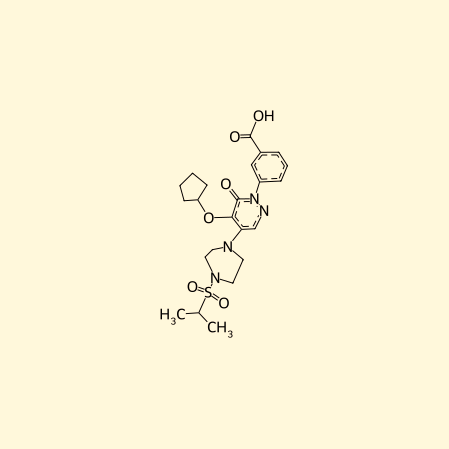 CC(C)S(=O)(=O)N1CCN(c2cnn(-c3cccc(C(=O)O)c3)c(=O)c2OC2CCCC2)CC1